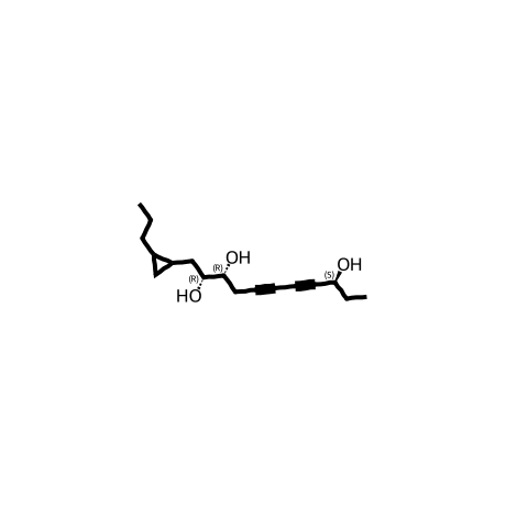 CCCC1CC1C[C@@H](O)[C@H](O)CC#CC#C[C@@H](O)CC